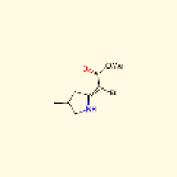 CC/C(C(=O)OC)=C1/C[C@H](C)CN1